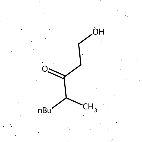 CCCCC(C)C(=O)CCO